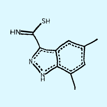 Cc1cc(C)c2[nH]nc(C(=N)S)c2c1